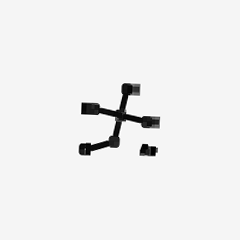 O[Si](O)(O)OCl.[Au]